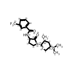 [CH2][C@@H]1C[C@H](N(C)C)CC[C@@H]1N1CCC(NC(=O)c2cccc(C(F)(F)F)c2)C1=O